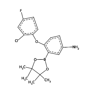 CC1(C)OB(c2cc(N)ccc2Oc2ccc(F)cc2Cl)OC1(C)C